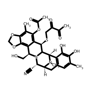 CC(=O)Oc1c(C)c2c(c3c1[C@@H](SCC(=O)C(C)=O)C1[C@H]4c5c(cc(C)c(O)c5O)C[C@@H]([C@H](C#N)N1[C@H]3CO)N4C)OCO2